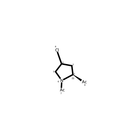 CC(=O)[C@@H]1CC(Cl)CN1C(C)=O